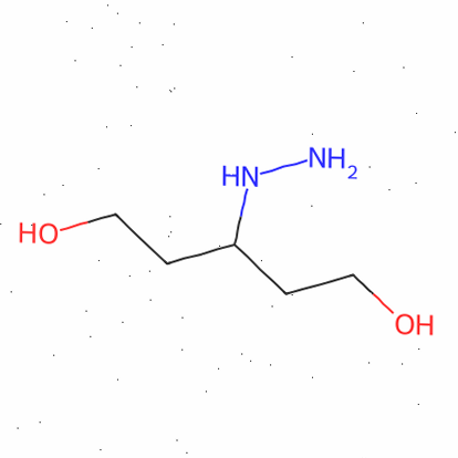 NNC(CCO)CCO